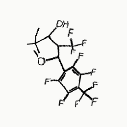 COC(c1c(F)c(F)c(C(F)(F)F)c(F)c1F)C(C(O)C(C)(C)C)C(F)(F)F